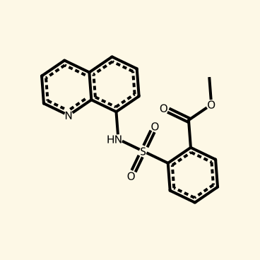 COC(=O)c1ccccc1S(=O)(=O)Nc1cccc2cccnc12